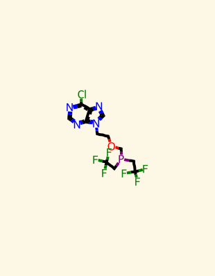 FC(F)(F)CP(COCCn1cnc2c(Cl)ncnc21)CC(F)(F)F